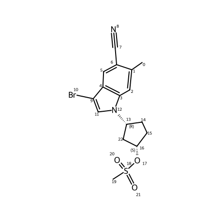 Cc1cc2c(cc1C#N)c(Br)cn2[C@@H]1CC[C@H](OS(C)(=O)=O)C1